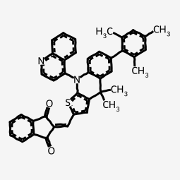 Cc1cc(C)c(-c2ccc3c(c2)C(C)(C)c2cc(C=C4C(=O)c5ccccc5C4=O)sc2N3c2ccnc3ccccc23)c(C)c1